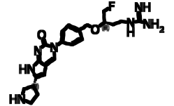 N=C(N)NCC[C@H](CF)OCc1ccc(-n2cc3cc([C@@H]4CCNC4)[nH]c3nc2=O)cc1